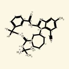 Cc1cc(C#N)c2c(c1)nc(NC(=O)c1cccc(C(F)(F)F)c1)n2C1CCCCN(C(=O)OC(C)(C)C)C1